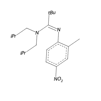 Cc1cc([N+](=O)[O-])ccc1N=C(N(CC(C)C)CC(C)C)C(C)(C)C